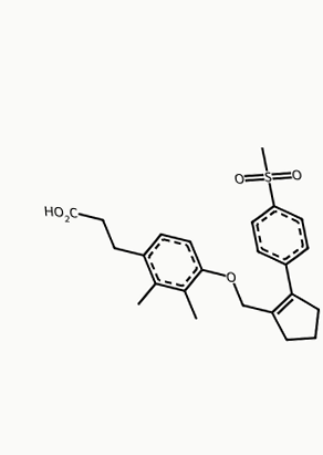 Cc1c(CCC(=O)O)ccc(OCC2=C(c3ccc(S(C)(=O)=O)cc3)CCC2)c1C